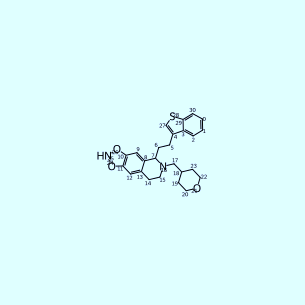 c1ccc2c(CCC3c4cc5c(cc4CCN3CC3CCOCC3)ONO5)csc2c1